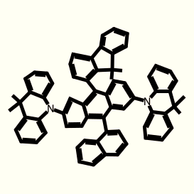 CC1(C)c2ccccc2N(c2ccc3c(-c4cccc5ccccc45)c4cc(N5c6ccccc6C(C)(C)c6ccccc65)ccc4c(-c4cccc5c4C(C)(C)c4ccccc4-5)c3c2)c2ccccc21